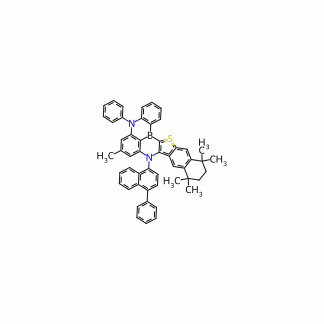 Cc1cc2c3c(c1)N(c1ccc(-c4ccccc4)c4ccccc14)c1c(sc4cc5c(cc14)C(C)(C)CCC5(C)C)B3c1ccccc1N2c1ccccc1